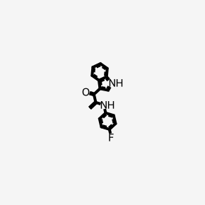 C=C(Nc1ccc(F)cc1)C(=O)c1c[nH]c2ccccc12